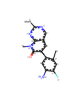 CNc1ncc2cc(-c3cc(N)c(F)cc3C)c(=O)n(C)c2n1